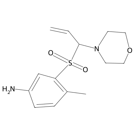 C=CC(N1CCOCC1)S(=O)(=O)c1cc(N)ccc1C